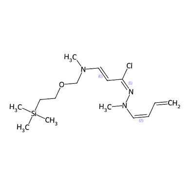 C=C/C=C\N(C)/N=C(Cl)\C=C\N(C)COCC[Si](C)(C)C